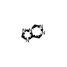 c1nc2cnncn2n1